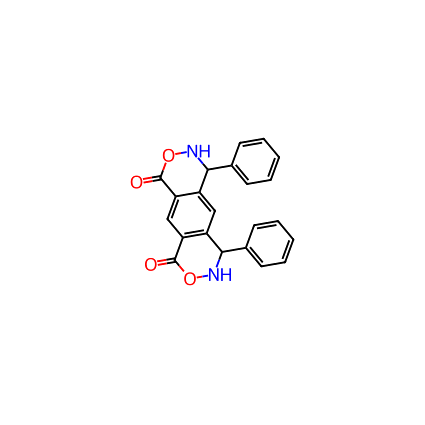 O=C1ONC(c2ccccc2)c2cc3c(cc21)C(=O)ONC3c1ccccc1